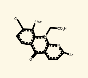 CSc1c(Cl)ccc2c(=O)c3ccc(C(C)=O)nc3n(CC(=O)O)c12